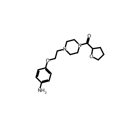 Nc1ccc(OCCN2CCN(C(=O)C3CCCO3)CC2)cc1